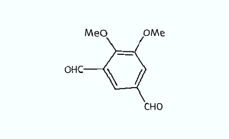 COc1cc(C=O)cc(C=O)c1OC